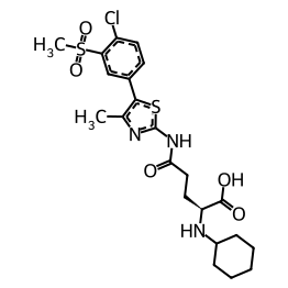 Cc1nc(NC(=O)CC[C@H](NC2CCCCC2)C(=O)O)sc1-c1ccc(Cl)c(S(C)(=O)=O)c1